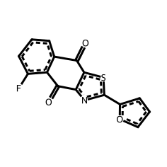 O=C1c2cccc(F)c2C(=O)c2nc(-c3ccco3)sc21